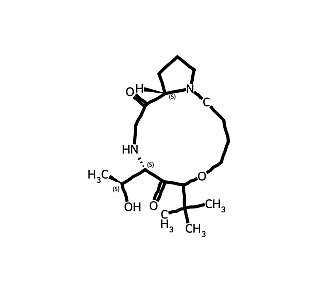 C[C@H](O)[C@@H]1NCC(=O)[C@@H]2CCCN2CCCCOC(C(C)(C)C)C1=O